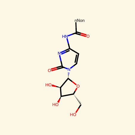 CCCCCCCCCC(=O)Nc1ccn([C@@H]2O[C@H](CO)[C@@H](O)[C@H]2O)c(=O)n1